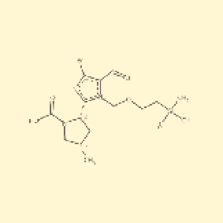 C[C@H]1C[C@@H](c2nc(Br)c(C=O)n2COCC[Si](C)(C)C)N(C(=O)O)C1